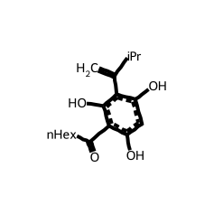 C=C(c1c(O)cc(O)c(C(=O)CCCCCC)c1O)C(C)C